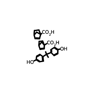 CC(C)(c1ccc(O)cc1)c1ccc(O)cc1.O=C(O)C12C=CC(CC1)C2.O=C(O)C12C=CC(CC1)C2